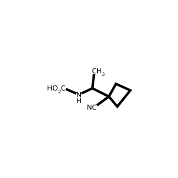 CC(NC(=O)O)C1(C#N)CCC1